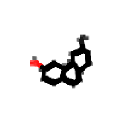 CCC(C)c1ccc2ccc3ccc(O)cc3c2c1